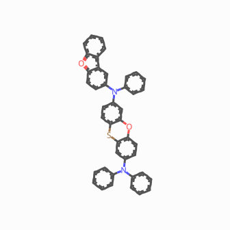 c1ccc(N(c2ccccc2)c2ccc3c(c2)Sc2ccc(N(c4ccccc4)c4ccc5oc6ccccc6c5c4)cc2O3)cc1